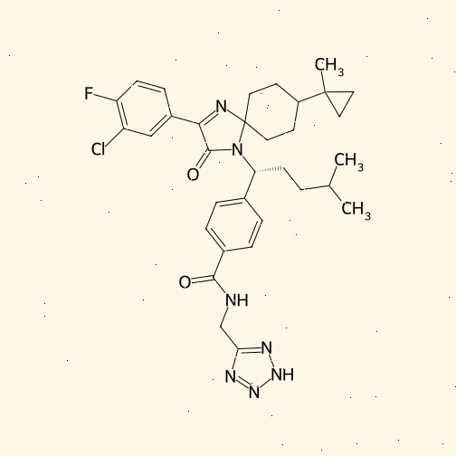 CC(C)CC[C@H](c1ccc(C(=O)NCc2nn[nH]n2)cc1)N1C(=O)C(c2ccc(F)c(Cl)c2)=NC12CCC(C1(C)CC1)CC2